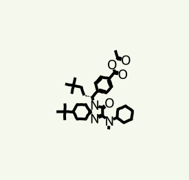 CC(=O)OC(=O)c1ccc([C@@H](CCC(C)(C)C)N2C(=O)C(N(C)C3CCCCC3)=NC23CCC(C(C)(C)C)CC3)cc1